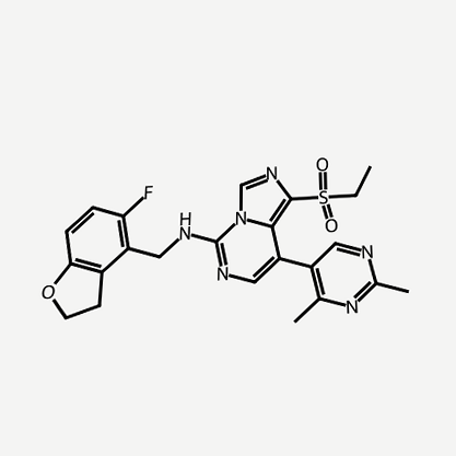 CCS(=O)(=O)c1ncn2c(NCc3c(F)ccc4c3CCO4)ncc(-c3cnc(C)nc3C)c12